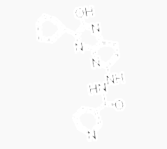 O=C(NNc1ccc2nc(O)c(-c3ccccc3)nc2n1)c1cccnc1